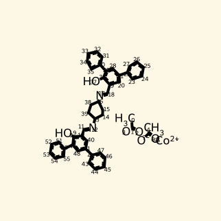 CC(=O)[O-].CC(=O)[O-].Oc1c(C=NC2CCC(N=Cc3cc(-c4ccccc4)cc(-c4ccccc4)c3O)CC2)cc(-c2ccccc2)cc1-c1ccccc1.[Co+2]